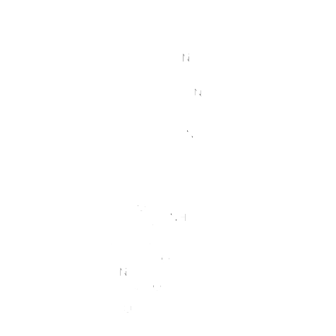 CCOC(=O)n1c(C)cc(-c2ccccc2)c1C(=O)C(=O)Nc1ccc(N2CCN(c3cc(C)cc(C)n3)CC2)cc1